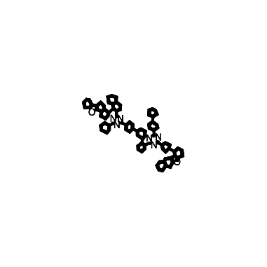 c1ccc(-c2ccc(-c3nc(-c4ccc(-c5cccc6oc7cc8ccccc8cc7c56)cc4)nc(-c4ccccc4-c4cccc(-c5ccc(-c6nc(-c7ccccc7)nc(-c7ccc8ccccc8c7-c7cccc8c7ccc7c9ccccc9oc87)n6)cc5)c4)n3)cc2)cc1